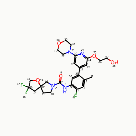 Cc1cc(F)c(NC(=O)N2CCC3(C2)CC(F)(F)CO3)cc1-c1cc(OCCO)nc(N2CCOCC2)c1